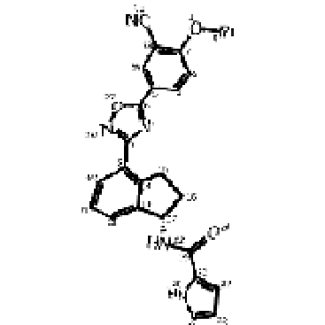 CC(C)Oc1ccc(-c2nc(-c3cccc4c3CC[C@@H]4NC(=O)c3ccc[nH]3)no2)cc1C#N